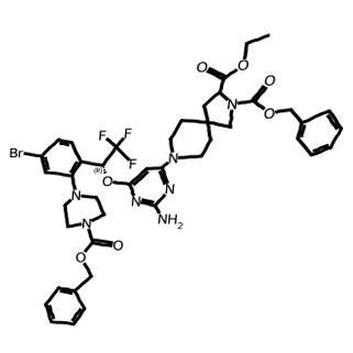 CCOC(=O)C1CC2(CCN(c3cc(O[C@H](c4ccc(Br)cc4N4CCN(C(=O)OCc5ccccc5)CC4)C(F)(F)F)nc(N)n3)CC2)CN1C(=O)OCc1ccccc1